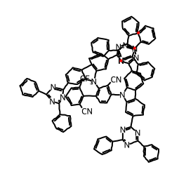 N#Cc1cccc(C(F)(F)F)c1-c1ccc(-n2c3cc(-c4nc(-c5ccccc5)nc(-c5ccccc5)n4)ccc3c3ccc(-c4nc(-c5ccccc5)nc(-c5ccccc5)n4)cc32)c(C#N)c1-n1c2cc(-c3nc(-c4ccccc4)nc(-c4ccccc4)n3)ccc2c2ccc(-c3nc(-c4ccccc4)nc(-c4ccccc4)n3)cc21